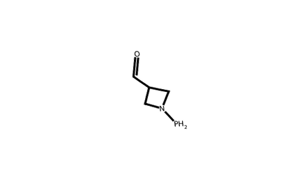 O=CC1CN(P)C1